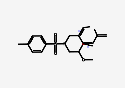 C=C(C)/C=C\C(=C/C)CN(CC(OC)OC)S(=O)(=O)c1ccc(C)cc1